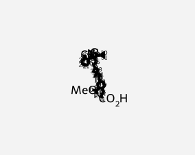 COc1nc(C(=O)O)cc2ccc(N3CC4(CC(/C=C/c5c(-c6ccccc6C(F)(F)F)noc5C5CC5)C4)C3)cc12